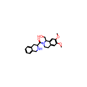 COc1cc2c(cc1OC)C(CO)N(C(=O)C1Cc3ccccc3CN1)CC2